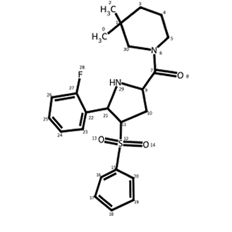 CC1(C)CCCN(C(=O)C2CC(S(=O)(=O)c3ccccc3)C(c3ccccc3F)N2)C1